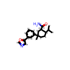 CC(C)C1CCC(C)(c2cccc(-c3cnco3)c2)CC1C(N)=O